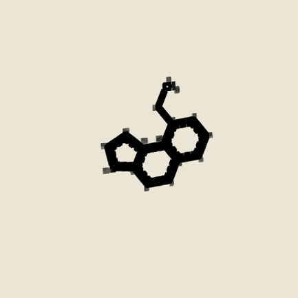 CCc1cccc2ccc3sccc3c12